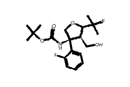 CC(C)(C)OC(=O)N[C@@]1(c2ccccc2F)COC(C(C)(C)F)[C@H]1CO